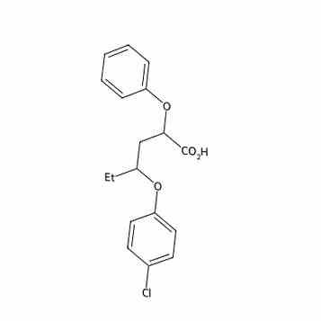 CCC(CC(Oc1ccccc1)C(=O)O)Oc1ccc(Cl)cc1